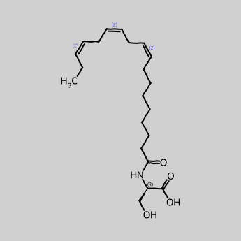 CC/C=C\C/C=C\C/C=C\CCCCCCCC(=O)N[C@H](CO)C(=O)O